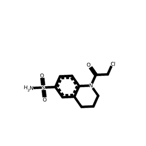 NS(=O)(=O)c1ccc2c(c1)CCCN2C(=O)CCl